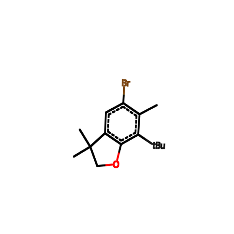 Cc1c(Br)cc2c(c1C(C)(C)C)OCC2(C)C